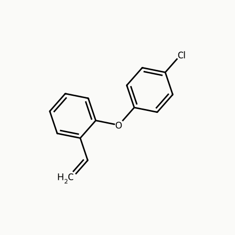 C=Cc1ccccc1Oc1ccc(Cl)cc1